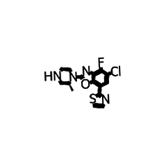 C[C@H]1CNCCN1c1nc2c(F)c(Cl)cc(-c3nccs3)c2o1